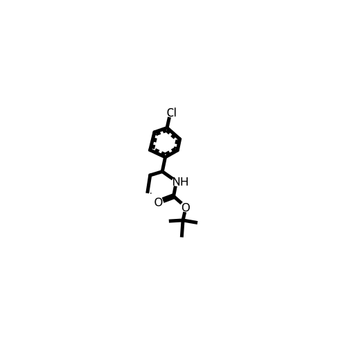 [CH2]CC(NC(=O)OC(C)(C)C)c1ccc(Cl)cc1